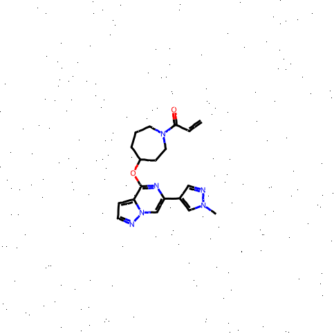 C=CC(=O)N1CCCC(Oc2nc(-c3cnn(C)c3)cn3nccc23)CC1